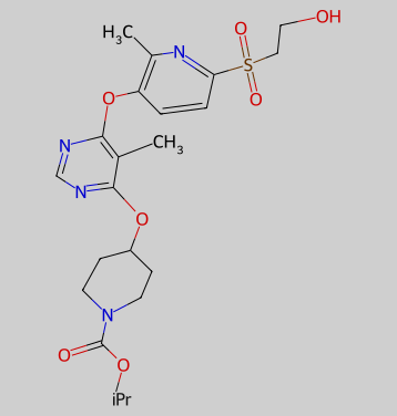 Cc1nc(S(=O)(=O)CCO)ccc1Oc1ncnc(OC2CCN(C(=O)OC(C)C)CC2)c1C